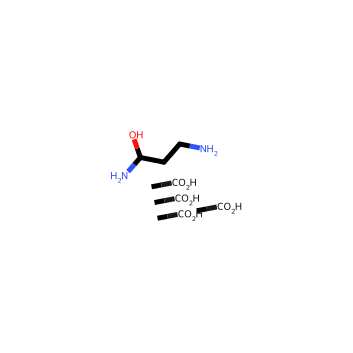 CC(=O)O.CC(=O)O.CC(=O)O.CC(=O)O.NCCC(N)O